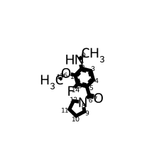 CNc1ccc(C(=O)N2CCCC2)c(F)c1OC